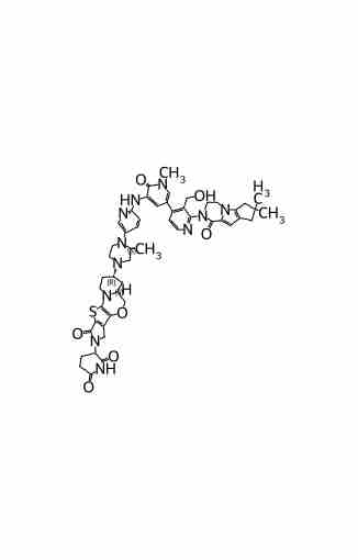 C[C@H]1CN([C@@H]2CCN3c4sc5c(c4OC[C@@H]3C2)CN(C2CCC(=O)NC2=O)C5=O)CCN1c1ccc(Nc2cc(-c3ccnc(N4CCn5c(cc6c5CC(C)(C)C6)C4=O)c3CO)cn(C)c2=O)nc1